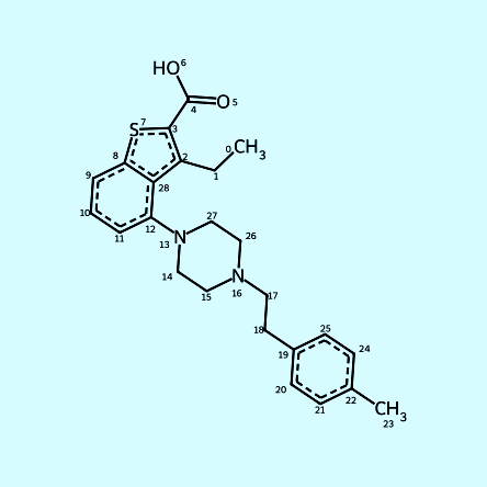 CCc1c(C(=O)O)sc2cccc(N3CCN(CCc4ccc(C)cc4)CC3)c12